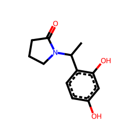 CC(c1ccc(O)cc1O)N1CCCC1=O